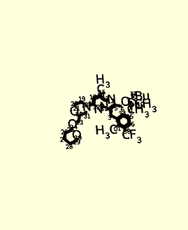 Cc1c(Cc2c(CO[Si](C)(C)C(C)(C)C)nc3c(C)cc(N4CCOC(COC5CCCCO5)C4)nn23)cccc1C(F)(F)F